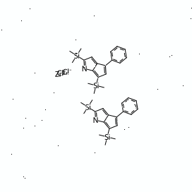 C[Si](C)(C)C1=NC2=C([Si](C)(C)C)C=C(c3ccccc3)C2=C1.C[Si](C)(C)C1=NC2=C([Si](C)(C)C)C=C(c3ccccc3)C2=C1.[Cl-].[Cl-].[Zr+2]